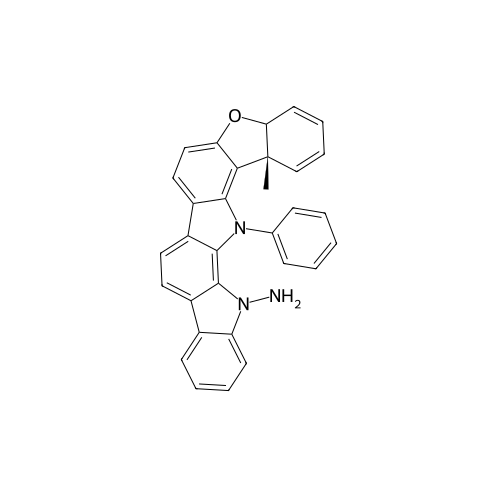 C[C@]12C=CC=CC1Oc1ccc3c4ccc5c6ccccc6n(N)c5c4n(-c4ccccc4)c3c12